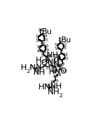 CC(C)(C)c1ccc(-c2ccc(C[C@H](NC(=O)[C@H](CCCNC(=N)N)NC(=O)[C@@H](N)Cc3ccc(-c4ccc(C(C)(C)C)cc4)cc3)C(=O)NCCCCNC(=N)N)cc2)cc1